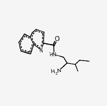 CCC(C)C(N)CNC(=O)c1ccc2ccccc2n1